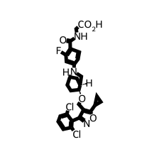 O=C(O)CNC(=O)c1ccc(N2C[C@@H]3C[C@H]2CC[C@H]3OCc2c(-c3c(Cl)cccc3Cl)noc2C2CC2)cc1F